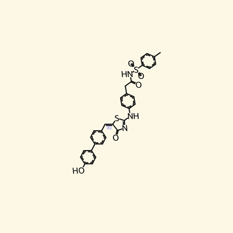 Cc1ccc(S(=O)(=O)NC(=O)Cc2ccc(NC3=NC(=O)/C(=C\c4ccc(-c5ccc(O)cc5)cc4)S3)cc2)cc1